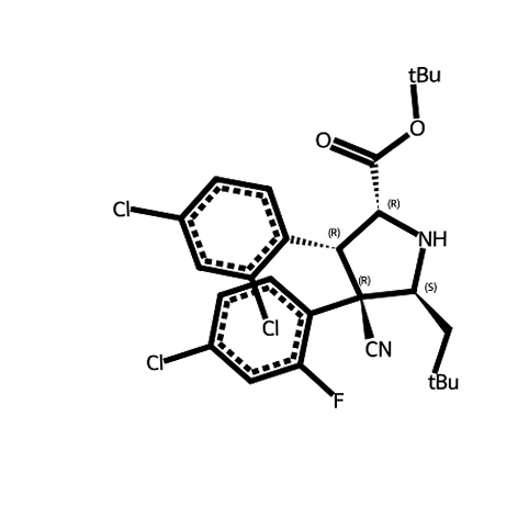 CC(C)(C)C[C@@H]1N[C@@H](C(=O)OC(C)(C)C)[C@@H](c2ccc(Cl)cc2Cl)[C@@]1(C#N)c1ccc(Cl)cc1F